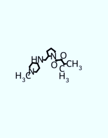 CC(C)C(=O)C(=O)N1CCCC1CNC1CCN(C)CC1